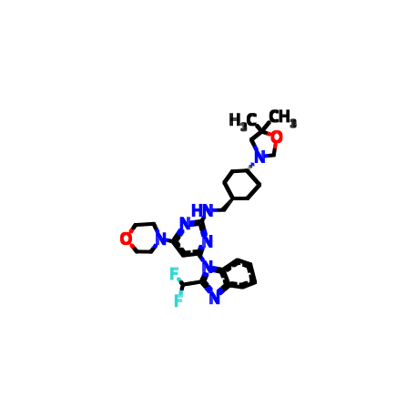 CC1(C)CN([C@H]2CC[C@H](CNc3nc(N4CCOCC4)cc(-n4c(C(F)F)nc5ccccc54)n3)CC2)CO1